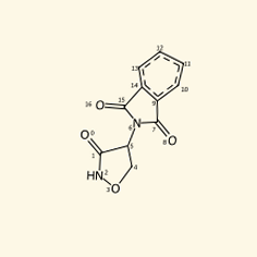 O=C1NOCC1N1C(=O)c2ccccc2C1=O